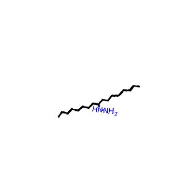 CCCCCCCCC(CCCCCCCC)NN